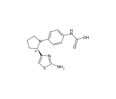 Nc1nc([C@H]2CCCN2c2ccc(NC(=O)O)cc2)cs1